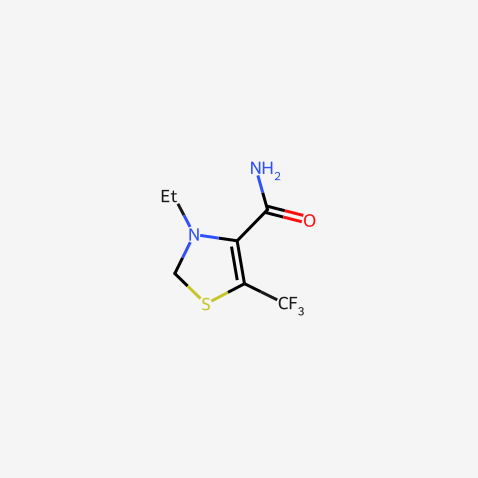 CCN1CSC(C(F)(F)F)=C1C(N)=O